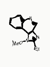 CCc1nc2cnc3ccccc3c2n1OC